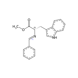 COC(=O)[C@H](Cc1c[nH]c2ccccc12)/N=C/c1ccccc1